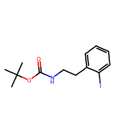 CC(C)(C)OC(=O)NCCc1ccccc1I